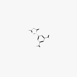 CC1=NN(c2cc(C(=O)O)cc(C(=O)O)c2)C(=O)C1